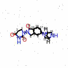 O=C1CCN(N2Cc3cc(N4C[C@@H]5C[C@H]4CN5)ccc3C2=O)C(=O)N1